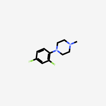 CN1CCN(c2ccc(F)cc2F)CC1